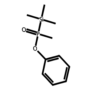 C[Si](C)(C)P(C)(=O)Oc1ccccc1